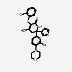 O=C1NC(c2ccsc2)(c2ccc(N3CCOCC3)c(Br)n2)CC(O)=C1Sc1ccccc1Cl